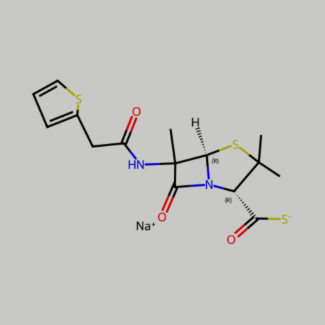 CC1(C)S[C@H]2N(C(=O)C2(C)NC(=O)Cc2cccs2)[C@H]1C(=O)[S-].[Na+]